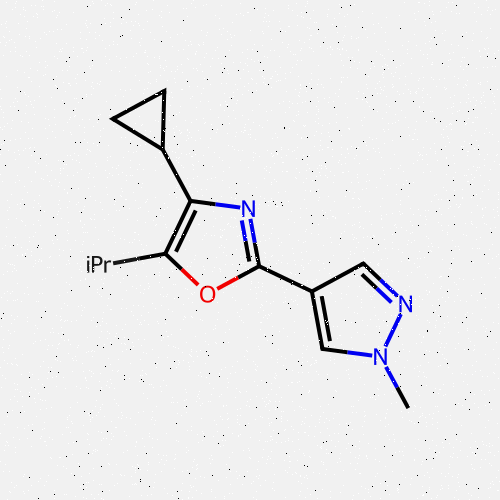 CC(C)c1oc(-c2cnn(C)c2)nc1C1CC1